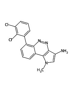 Cn1cc(N)c2nnc3c(-c4cccc(Cl)c4Cl)cccc3c21